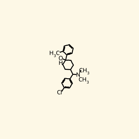 Cc1ccccc1C1(O)CCC(C(c2ccc(Cl)cc2)N(C)C)CC1